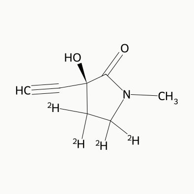 [2H]C1([2H])N(C)C(=O)[C@@](O)(C#C)C1([2H])[2H]